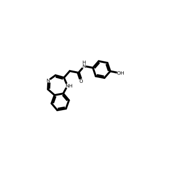 O=C(CC1=CN=Cc2ccccc2N1)Nc1ccc(O)cc1